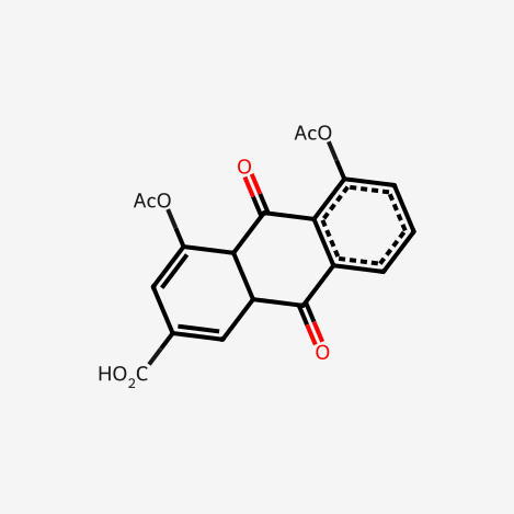 CC(=O)OC1=CC(C(=O)O)=CC2C(=O)c3cccc(OC(C)=O)c3C(=O)C12